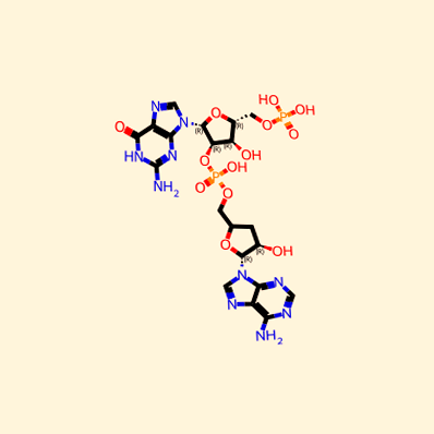 Nc1nc2c(ncn2[C@@H]2O[C@H](COP(=O)(O)O)[C@@H](O)[C@H]2OP(=O)(O)OCC2C[C@@H](O)[C@H](n3cnc4c(N)ncnc43)O2)c(=O)[nH]1